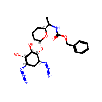 CC(NC(=O)OCc1ccccc1)[C@@H]1CCC[C@@H](O[C@H]2[C@H](O)[C@@H](O)[C@H](N=[N+]=[N-])C[C@@H]2N=[N+]=[N-])O1